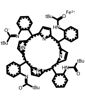 CC(C)(C)C(=O)Nc1ccccc1-c1c2nc(c(-c3ccccc3N=C([O-])C(C)(C)C)c3ccc([nH]3)c(-c3ccccc3N=C([O-])C(C)(C)C)c3ccc([nH]3)c(-c3ccccc3NC(=O)C(C)(C)C)c3nc1C=C3)C=C2.[Fe+2]